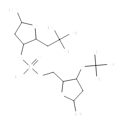 BC1CC(OC(C)(C)C)C(COP(=O)(O)OC2CC(B)OC2CC(C)(C)C)O1